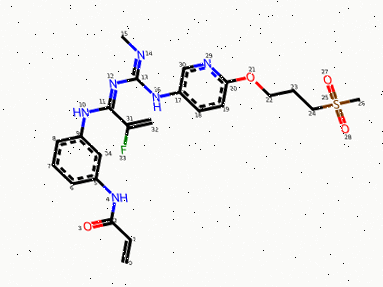 C=CC(=O)Nc1cccc(N/C(=N/C(=N\C)Nc2ccc(OCCCS(C)(=O)=O)nc2)C(=C)F)c1